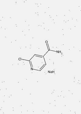 NC(=O)c1ccnc(Cl)c1.[NaH]